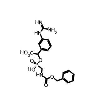 N=C(N)Nc1cccc(C(OP(=O)(O)CNC(=O)OCc2ccccc2)C(=O)O)c1